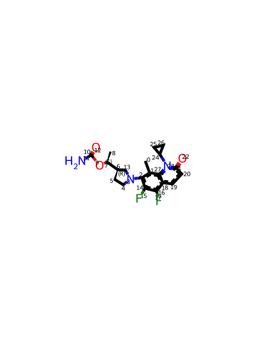 Cc1c(N2CC[C@@H]([C@H](C)OC(N)=O)C2)c(F)c(F)c2ccc(=O)n(C3CC3)c12